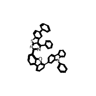 c1ccc(-c2ccc3sc4nc(-c5cccc6c5oc5c(-c7ccc8c9ccccc9n(-c9ccccc9)c8c7)cccc56)nc(-c5ccccc5)c4c3c2)cc1